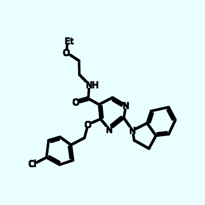 CCOCCNC(=O)c1cnc(N2CCc3ccccc32)nc1OCc1ccc(Cl)cc1